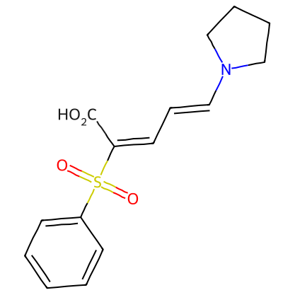 O=C(O)C(=CC=CN1CCCC1)S(=O)(=O)c1ccccc1